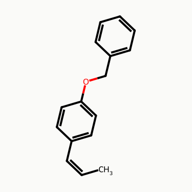 C/C=C\c1ccc(OCc2ccccc2)cc1